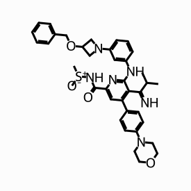 CC(C)C(=N)c1c(-c2ccc(N3CCOCC3)cc2)cc(C(=O)N[S+](C)[O-])nc1Nc1cccc(N2CC(OCc3ccccc3)C2)c1